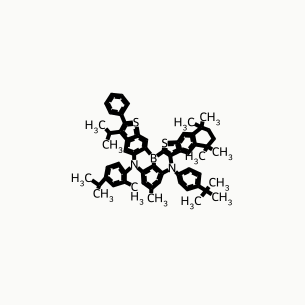 Cc1cc2c3c(c1)N(c1ccc(C(C)(C)C)cc1)c1c(sc4cc5c(cc14)C(C)(C)CCC5(C)C)B3c1cc3sc(-c4ccccc4)c(C(C)C)c3cc1N2c1ccc(C(C)C)cc1C